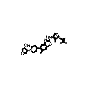 Cc1cc2cnc(Nc3cnn(C4CC4(F)F)c3C)nc2cc1C1CCN([C@H]2COC[C@H]2O)CC1